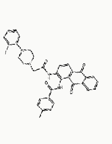 Cc1ccc(C(=O)Nc2c(NC(=O)CN3CCN(c4ccccc4F)CC3)ccc3c2C(=O)c2ccccc2C3=O)cc1